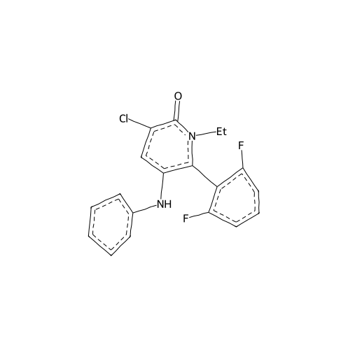 CCn1c(-c2c(F)cccc2F)c(Nc2ccccc2)cc(Cl)c1=O